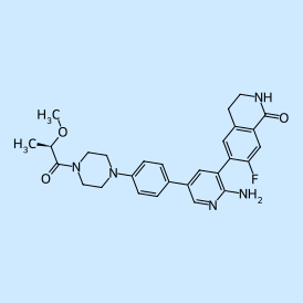 CO[C@H](C)C(=O)N1CCN(c2ccc(-c3cnc(N)c(-c4cc5c(cc4F)C(=O)NCC5)c3)cc2)CC1